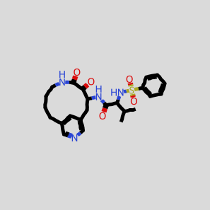 CC(C)C(NS(=O)(=O)c1ccccc1)C(=O)NC1Cc2cncc(c2)CCCCNC(=O)C1=O